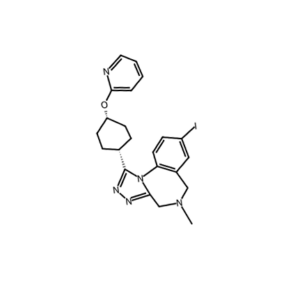 CN1Cc2cc(I)ccc2-n2c(nnc2[C@H]2CC[C@@H](Oc3ccccn3)CC2)C1